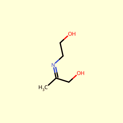 CC(CO)=NCCO